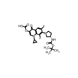 CC(C)(C)OC(=O)N[C@H]1CCN(c2c(F)cc3c(=O)c(OC(=O)O)cn(C4CC4)c3c2F)C1